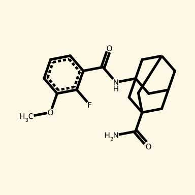 COc1cccc(C(=O)NC23CC4CC(C2)CC(C(N)=O)(C4)C3)c1F